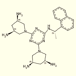 C[C@H](Nc1nc(N2C[C@H](N)C[C@H](N)C2)nc(N2C[C@H](N)C[C@H](N)C2)n1)c1cccc2ccccc12